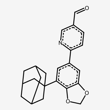 O=Cc1ccc(-c2cc3c(c(C45CC6CC(CC(C6)C4)C5)c2)OCO3)nc1